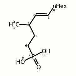 CCCCCCC=CC(C)CCP(=O)(O)O